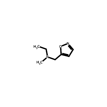 CCN(C)Cc1ccno1